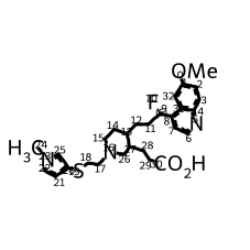 COc1ccc2nccc([C@@H](F)CCC3CCN(CCSc4ccn(C)c4)CC3CCC(=O)O)c2c1